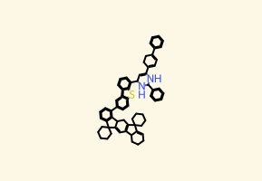 C1=C(C2=CC(c3cccc4c3sc3ccc(-c5cccc6c5C5CC7=C(C=C5C65CCCCC5)C5CCCC=C5C75CCCCC5)cc34)NC(c3ccccc3)N2)CCC(c2ccccc2)=C1